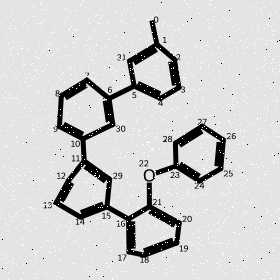 Cc1cccc(-c2cccc(-c3cccc(-c4ccccc4Oc4ccccc4)c3)c2)c1